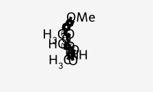 COc1ccc2cc([C@H](C)C(=O)OC[C@H]3O[C@@H](n4cc(C)c(=O)[nH]c4=O)C[C@@H]3O)ccc2c1